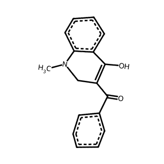 CN1CC(C(=O)c2ccccc2)=C(O)c2ccccc21